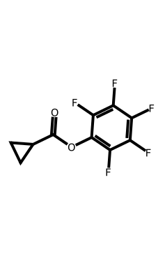 O=C(Oc1c(F)c(F)c(F)c(F)c1F)C1CC1